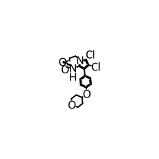 O=S1(=O)CCn2c(Cl)c(Cl)c(-c3ccc(OC4CCOCC4)cc3)c2N1